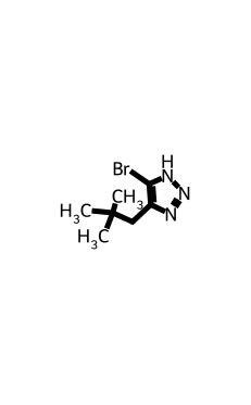 CC(C)(C)Cc1nn[nH]c1Br